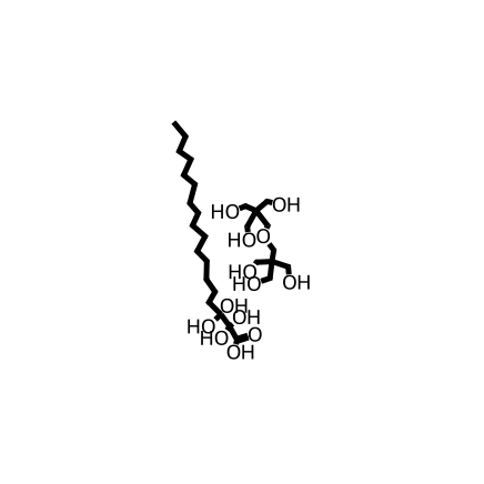 CCCCCCCCCCCCCCCC(O)(O)C(O)(O)C(=O)O.OCC(CO)(CO)COCC(CO)(CO)CO